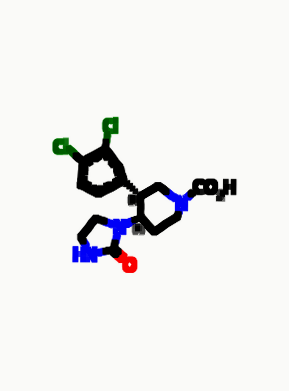 O=C(O)N1CC[C@@H](N2CCNC2=O)[C@H](c2ccc(Cl)c(Cl)c2)C1